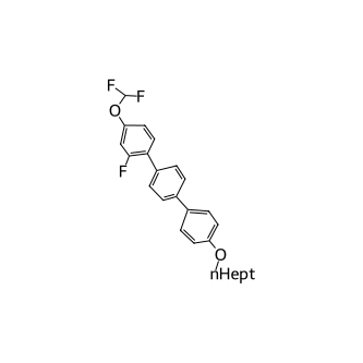 CCCCCCCOc1ccc(-c2ccc(-c3ccc(OC(F)F)cc3F)cc2)cc1